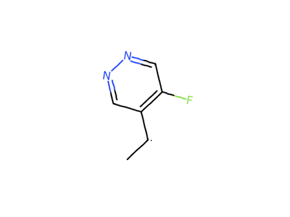 C[CH]c1cnncc1F